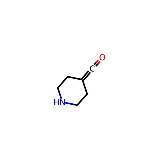 O=C=C1CCNCC1